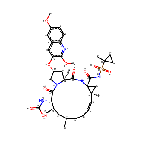 COc1ccc2nc(OC)c(O[C@@H]3C[C@H]4C(=O)N[C@]5(C(=O)NS(=O)(=O)C6(C)CC6)C[C@H]5C=CCC[C@@H](C)C[C@@H](C)[C@H](NC(=O)O)C(=O)N4C3)cc2c1